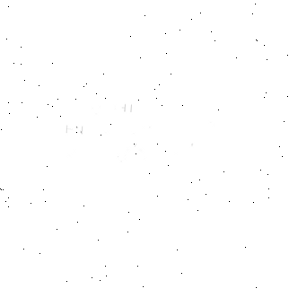 COc1cccc(Sc2c(O)c3c(=O)[nH]c4ccccc4c3oc2=O)c1